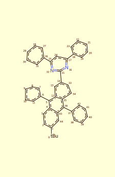 CC(C)(C)c1ccc2c(-c3ccccc3)c3cc(-c4nc(-c5ccccc5)cc(-c5ccccc5)n4)ccc3c(-c3ccccc3)c2c1